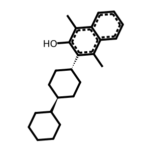 Cc1c(O)c([C@H]2CC[C@H](C3CCCCC3)CC2)c(C)c2ccccc12